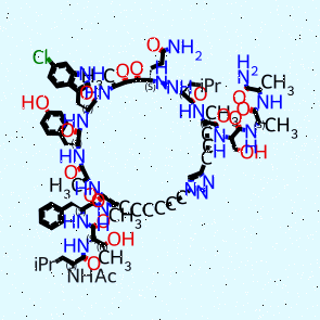 CC(=O)N[C@@H](CC(C)C)C(=O)N[C@H](C(=O)N[C@@H](Cc1ccccc1)C(=O)NC1(C)CCCCCCn2cc(nn2)CCC[C@@](C)(C(=O)NC(CO)C(=O)N[C@@H](C)C(=O)NC(C)C(N)=O)NC(=O)[C@H](CC(C)C)NN[C@@H](CCC(N)=O)C(=O)C(=O)C(C)NC(=O)[C@H](Cc2c[nH]c3cc(Cl)ccc23)NC(=O)[C@H](Cc2ccc(O)cc2)NC(=O)C(C)NC1=O)[C@@H](C)O